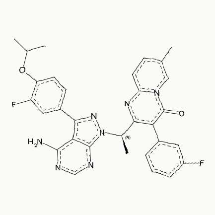 Cc1ccc2nc([C@@H](C)n3nc(-c4ccc(OC(C)C)c(F)c4)c4c(N)ncnc43)c(-c3cccc(F)c3)c(=O)n2c1